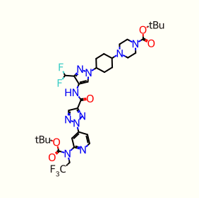 CC(C)(C)OC(=O)N1CCN(C2CCC(n3cc(NC(=O)c4cnn(-c5ccnc(N(CC(F)(F)F)C(=O)OC(C)(C)C)c5)n4)c(C(F)F)n3)CC2)CC1